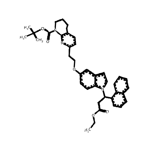 CCOC(=O)CC(c1cccc2ccccc12)n1ccc2cc(OCCc3ccc4c(n3)N(C(=O)OC(C)(C)C)CCC4)ccc21